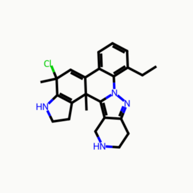 CCc1cccc2c1-n1nc3c(c1C1(C)C2=CC(C)(Cl)C2=C1CCN2)CNCC3